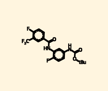 CC(C)(C)OC(=O)Nc1ccc(F)c(NC(=O)c2ccc(F)c(C(F)(F)F)c2)c1